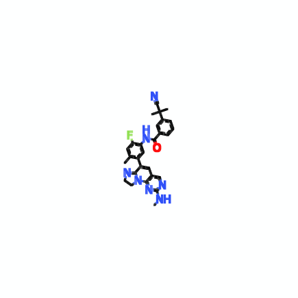 CNc1ncc2c(n1)N1CCN=C1C(c1cc(NC(=O)c3cccc(C(C)(C)C#N)c3)c(F)cc1C)=C2